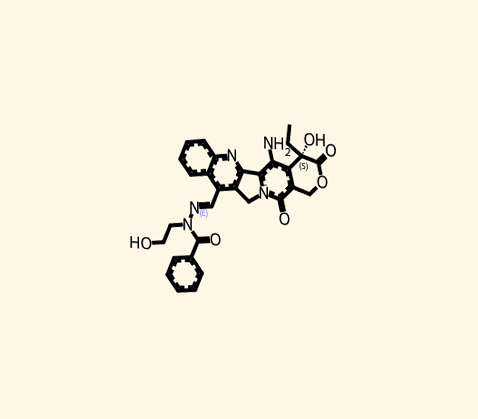 CC[C@@]1(O)C(=O)OCc2c1c(N)c1n(c2=O)Cc2c-1nc1ccccc1c2/C=N/N(CCO)C(=O)c1ccccc1